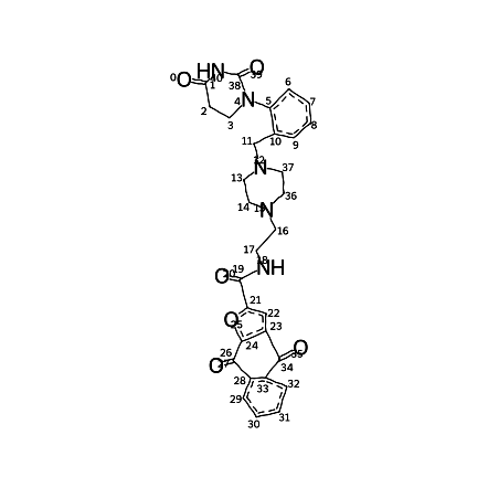 O=C1CCN(c2ccccc2CN2CCN(CCNC(=O)c3cc4c(o3)C(=O)c3ccccc3C4=O)CC2)C(=O)N1